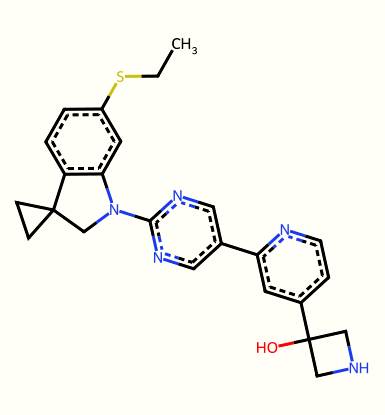 CCSc1ccc2c(c1)N(c1ncc(-c3cc(C4(O)CNC4)ccn3)cn1)CC21CC1